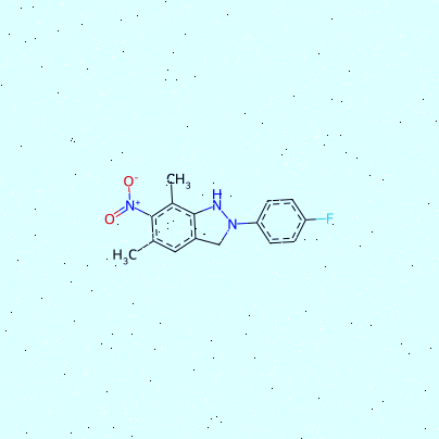 Cc1cc2c(c(C)c1[N+](=O)[O-])NN(c1ccc(F)cc1)C2